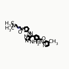 Cc1ccnc(NC(=O)c2ccc(-c3nn([C@@H]4CCCN(C(=O)/C=C/CN(C)C)C4)c4ncnc(N)c34)cc2)c1